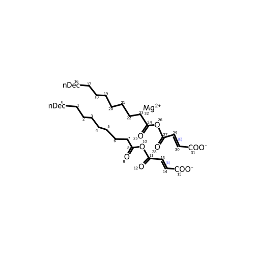 CCCCCCCCCCCCCCCCCC(=O)OC(=O)/C=C/C(=O)[O-].CCCCCCCCCCCCCCCCCC(=O)OC(=O)/C=C/C(=O)[O-].[Mg+2]